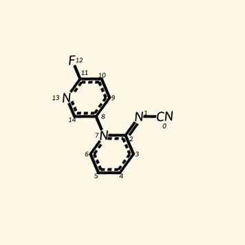 N#C/N=c1\ccccn1-c1ccc(F)nc1